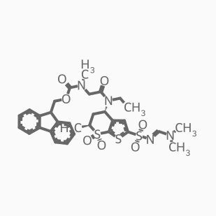 CCN(C(=O)CN(C)C(=O)OCC1c2ccccc2-c2ccccc21)[C@H]1C[C@H](C)S(=O)(=O)c2sc(S(=O)(=O)/N=C/N(C)C)cc21